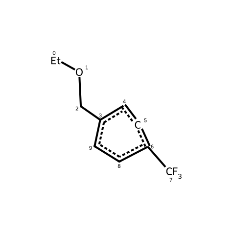 [CH2]COCc1ccc(C(F)(F)F)cc1